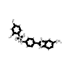 Cc1ccc2nc(-c3ccc(NS(=O)(=O)c4ccc(F)cc4F)cc3)sc2c1